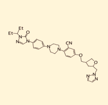 CCC(CC)n1ncn(-c2ccc(N3CCN(c4ccc(OCC5COC(Cn6nccn6)C5)cc4C#N)CC3)cc2)c1=O